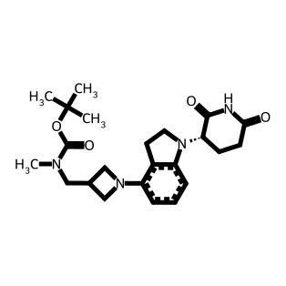 CN(CC1CN(c2cccc3c2CCN3[C@H]2CCC(=O)NC2=O)C1)C(=O)OC(C)(C)C